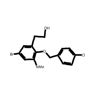 CNc1cc(Br)cc(CCO)c1OCc1ccc(Cl)cc1